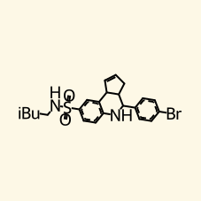 CCC(C)CNS(=O)(=O)c1ccc2c(c1)C1C=CCC1C(c1ccc(Br)cc1)N2